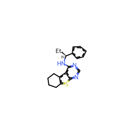 CC[C@H](Nc1ncnc2sc3c(c12)CCCC3)c1ccccc1